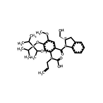 C=CCN(C(=O)O)c1cc(O[Si](C(C)C)(C(C)C)C(C)C)c(OC)cc1C(=O)N1c2ccccc2C[C@H]1CO